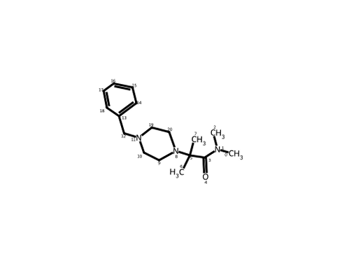 CN(C)C(=O)C(C)(C)N1CCN(Cc2ccccc2)CC1